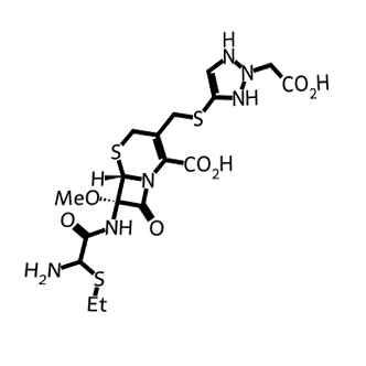 CCSC(N)C(=O)N[C@]1(OC)C(=O)N2C(C(=O)O)=C(CSC3=CNN(CC(=O)O)N3)CS[C@H]21